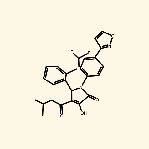 CC(C)CC(=O)C1=C(O)C(=O)N(c2ccc(-c3ccon3)cc2)C1c1ccccc1OC(F)F